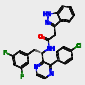 O=C(Cc1n[nH]c2ccccc12)N[C@@H](Cc1cc(F)cc(F)c1)c1nccnc1-c1ccc(Cl)cc1